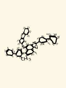 Cc1cc(-c2ccccc2)cc(N(c2ccc3c(c2)C2C=CCCC2S3)c2cc3nc(-c4ccc(-c5ccccc5)cc4)oc3c3ccccc23)c1